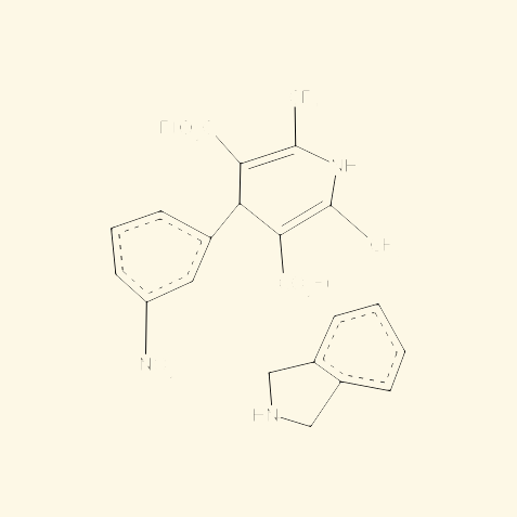 CCOC(=O)C1=C(C(F)(F)F)NC(C(F)(F)F)=C(C(=O)OCC)C1c1cccc([N+](=O)[O-])c1.c1ccc2c(c1)CNC2